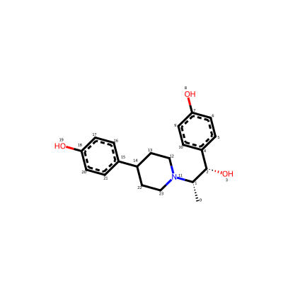 C[C@@H]([C@@H](O)c1ccc(O)cc1)N1CCC(c2ccc(O)cc2)CC1